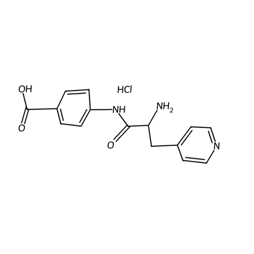 Cl.NC(Cc1ccncc1)C(=O)Nc1ccc(C(=O)O)cc1